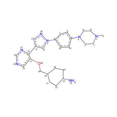 CN1CCN(c2ccc(-n3cc(-c4ncncc4OCC4CCC(N)CC4)cn3)cc2)CC1